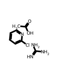 CC(=O)O.Clc1ccccn1.N=C(N)N